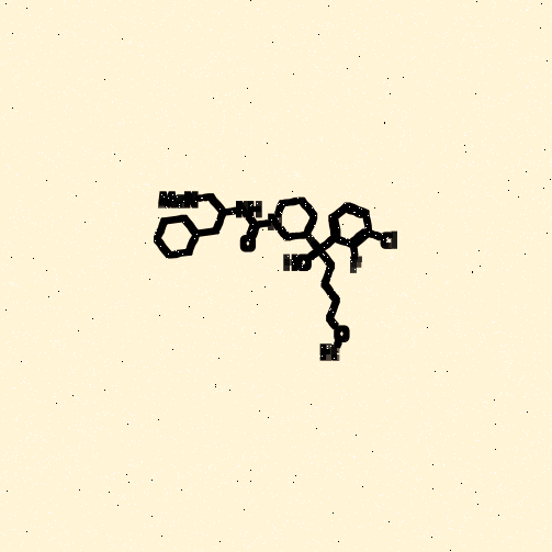 CCOCCCCC(O)(c1cccc(Cl)c1F)[C@@H]1CCCN(C(=O)NC(CNC)CC2CCCCC2)C1